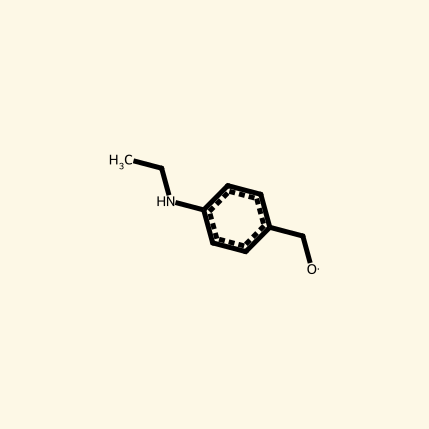 CCNc1ccc(C[O])cc1